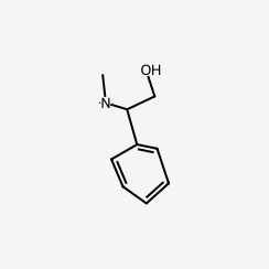 C[N]C(CO)c1ccccc1